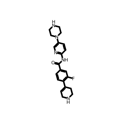 O=C(Nc1ccc(N2CCNCC2)cn1)c1ccc(C2=CCNCC2)c(F)c1